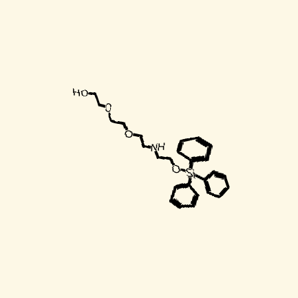 OCCOCCOCCNCCO[Si](c1ccccc1)(c1ccccc1)c1ccccc1